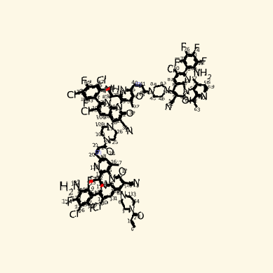 C=CC(=O)N1CCN(c2c(C#N)c(=O)n(-c3c(C)cc(/C=C\C(=O)N4CCN(c5c(C#N)c(=O)n(-c6c(C)cc(/C=C\C(=O)N7CCN(C8=C(C#N)C(O)N(c9c(C)ccnc9C(C)C)c9nc(-c%10c(N)c(F)c(F)c(F)c%10F)c(Cl)cc98)CC7)nc6C(C)C)c6nc(-c7c(N)c(Cl)c(F)c(Cl)c7F)c(Cl)cc56)CC4)nc3C(C)C)c3nc(-c4c(F)c(N)c(F)c(Cl)c4F)c(Cl)cc23)CC1